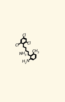 Cc1cccc(N)c1CCCCCc1c(Cl)cc(Cl)cc1Cl.N